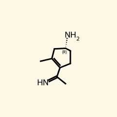 CC(=N)C1=C(C)C[C@H](N)CC1